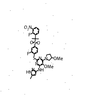 COc1c(Nc2cc(C)[nH]n2)nc(Sc2ccc(S(=O)(=O)C(C)(C)c3cccc([N+](=O)[O-])c3F)cc2F)nc1N1CCC(OC)C1